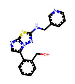 OCc1ccccc1-c1cnc2sc(NCc3cccnc3)nn12